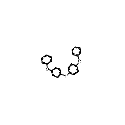 c1ccc(Oc2ccc([I+]c3ccc(Oc4ccccc4)cc3)cc2)cc1